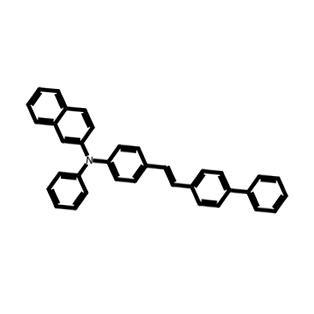 C(=Cc1ccc(N(c2ccccc2)c2ccc3ccccc3c2)cc1)c1ccc(-c2ccccc2)cc1